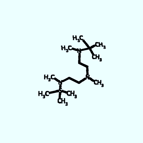 CN(CCN(C)C(C)(C)C)CCN(C)S(C)(C)C